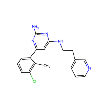 Cc1c(Cl)cccc1-c1cc(NCCc2cccnc2)nc(N)n1